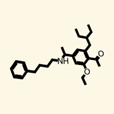 CCOc1cc(C(C)NCCCCc2ccccc2)cc(CC(CC)CC)c1C(C)=O